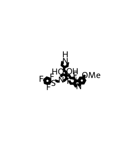 COc1ccc2ncc(CF)c([C@@H](F)CCC3(C(O)C(O)C4CCNCC4)CCN(CCSc4c(F)cc(F)cc4F)CC3)c2c1